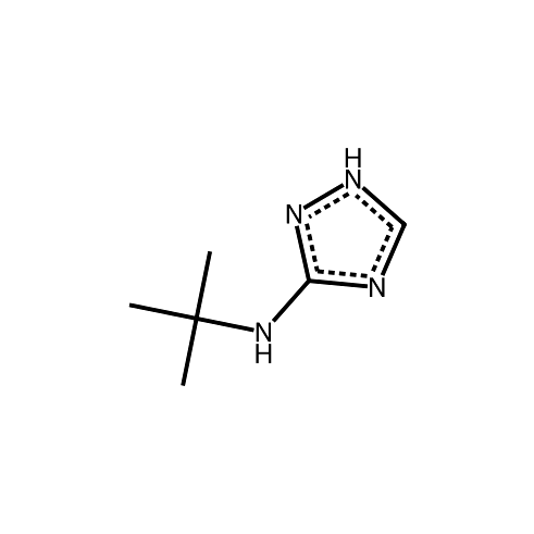 CC(C)(C)Nc1nc[nH]n1